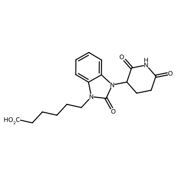 O=C(O)CCCCCn1c(=O)n(C2CCC(=O)NC2=O)c2ccccc21